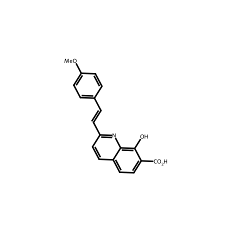 COc1ccc(C=Cc2ccc3ccc(C(=O)O)c(O)c3n2)cc1